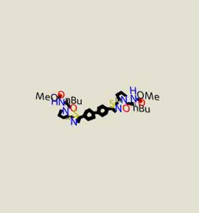 CCCC[C@H](NC(=O)OC)C(=O)N1CCC[C@H]1c1ncc(-c2ccc(-c3ccc(-c4cnc([C@@H]5CCCN5C(=O)[C@H](CCCC)NC(=O)OC)s4)cc3)cc2)s1